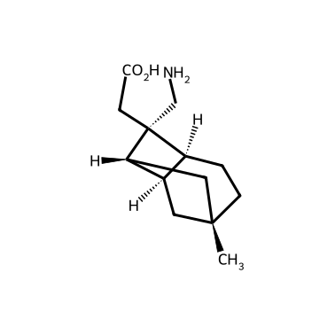 C[C@@]12CC[C@H]3[C@@H](C1)[C@@H](C2)[C@@]3(CN)CC(=O)O